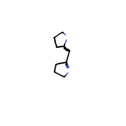 C(=C1CCCN1)C1=NCCC1